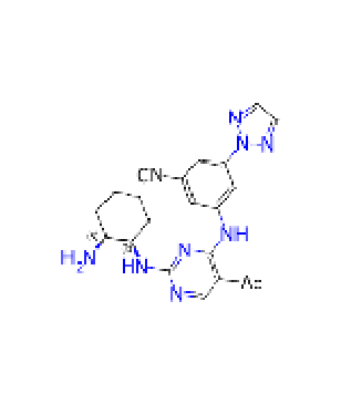 [C-]#[N+]c1cc(Nc2nc(N[C@@H]3CCCC[C@@H]3N)ncc2C(C)=O)cc(-n2nccn2)c1